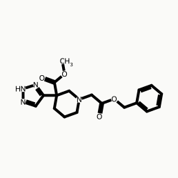 COC(=O)C1(c2cn[nH]n2)CCCN(CC(=O)OCc2ccccc2)C1